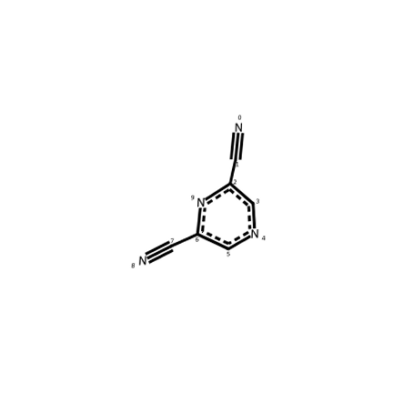 N#Cc1cncc(C#N)n1